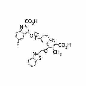 CCOc1cc(C(=O)O)nc2ccc(F)cc12.Cc1c(C(=O)O)nc2ccc(F)cc2c1OCc1nc2ccccc2s1